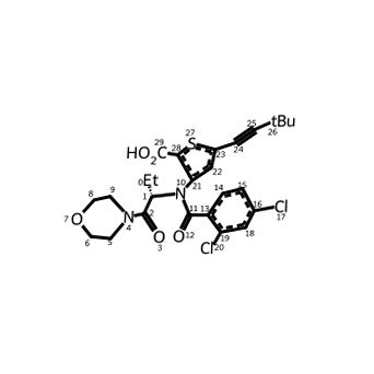 CC[C@@H](C(=O)N1CCOCC1)N(C(=O)c1ccc(Cl)cc1Cl)c1cc(C#CC(C)(C)C)sc1C(=O)O